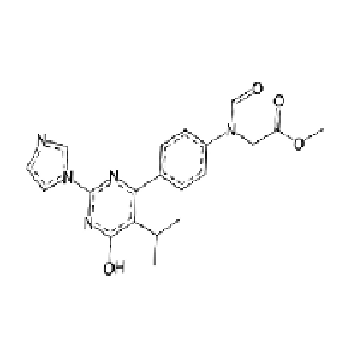 COC(=O)CN(C=O)c1ccc(-c2nc(-n3ccnc3)nc(O)c2C(C)C)cc1